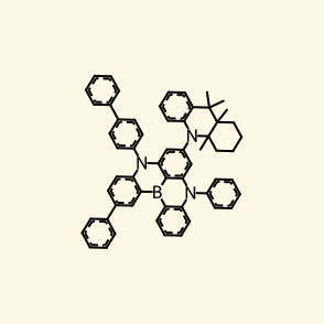 CC1(C)c2ccccc2N(c2cc3c4c(c2)N(c2ccc(-c5ccccc5)cc2)c2ccc(-c5ccccc5)cc2B4c2ccccc2N3c2ccccc2)C2(C)CCCCC12C